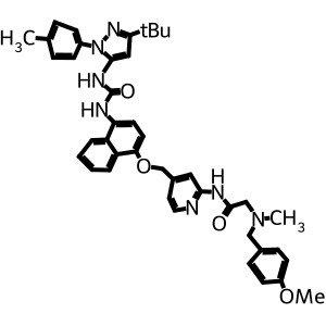 COc1ccc(CN(C)CC(=O)Nc2cc(COc3ccc(NC(=O)Nc4cc(C(C)(C)C)nn4-c4ccc(C)cc4)c4ccccc34)ccn2)cc1